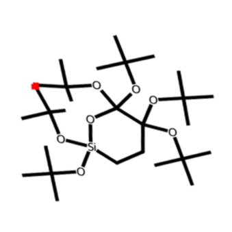 CC(C)(C)OC1(OC(C)(C)C)CC[Si](OC(C)(C)C)(OC(C)(C)C)OC1(OC(C)(C)C)OC(C)(C)C